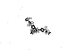 CC(C)OC(=O)Nc1ccc(-c2ncc(-c3ccc(NC(=O)OC[C@H]4CCCN4)cc3S(=O)(=O)NC(C)(C)C)s2)cc1